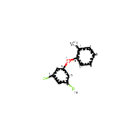 N#Cc1ccccc1Oc1cc(F)cc(F)c1